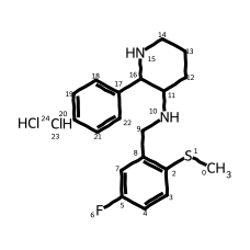 CSc1ccc(F)cc1CNC1CCCNC1c1ccccc1.Cl.Cl